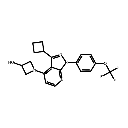 OC1CN(c2ccnc3c2c(C2CCC2)nn3-c2ccc(OC(F)(F)F)cc2)C1